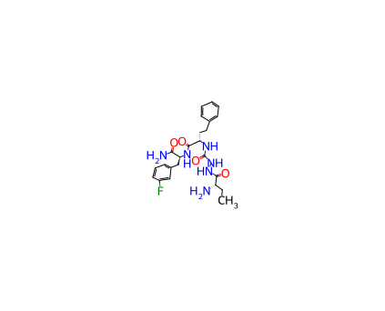 CC[C@H](N)C(=O)NNC(=O)N[C@@H](CCc1ccccc1)C(=O)N[C@@H](Cc1cccc(F)c1)C(N)=O